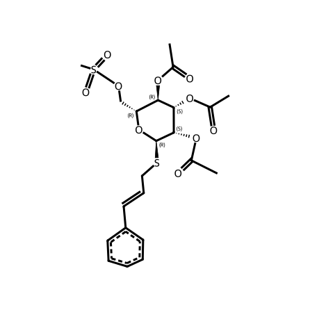 CC(=O)O[C@@H]1[C@H](OC(C)=O)[C@@H](SCC=Cc2ccccc2)O[C@H](COS(C)(=O)=O)[C@H]1OC(C)=O